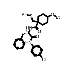 CCOC1CCC(CSC(C)=O)(C(=O)N[C@@H](Cc2ccccc2)C(=O)Nc2ccc(Cl)cc2)CC1